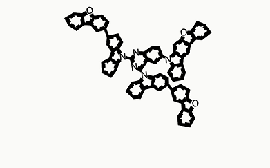 c1ccc2c(c1)oc1ccc(-c3ccc4c(c3)c3ccccc3n4-c3nc(-n4c5ccccc5c5cc(-c6ccc7oc8ccccc8c7c6)ccc54)c4cc(-n5c6ccccc6c6cc7c(cc65)oc5ccccc57)ccc4n3)cc12